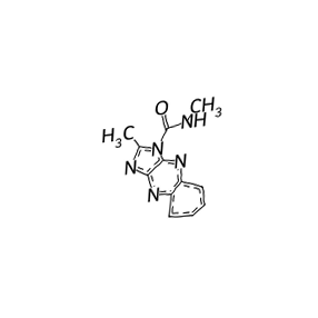 CNC(=O)n1c(C)nc2nc3ccccc3nc21